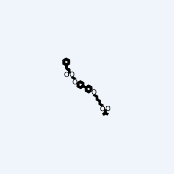 C=C(C)C(=O)OCCCCCCOc1ccc(-c2ccc(OCCOC(=O)/C=C/c3ccccc3)cc2)cc1